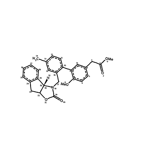 COC(=O)Cc1ccc(OC)c(-c2ccc(C)cc2CN2C(=O)OC3Cc4ccccc4[C@@H]32)c1